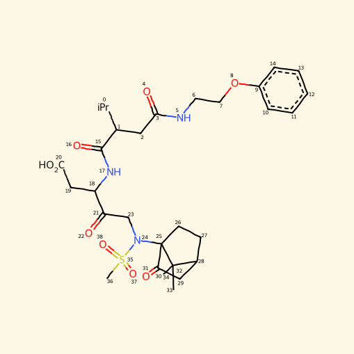 CC(C)C(CC(=O)NCCOc1ccccc1)C(=O)NC(CC(=O)O)C(=O)CN(C12CCC(CC1=O)C2(C)C)S(C)(=O)=O